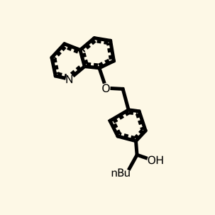 CCCCC(O)c1ccc(COc2cccc3cccnc23)cc1